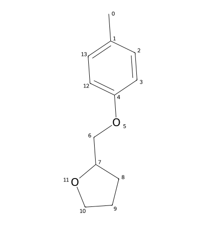 Cc1ccc(OCC2CCCO2)cc1